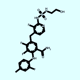 Cc1ccc(Nc2c(C(N)=O)cc(Cc3ccnc(NS(=O)(=O)NCCO)c3F)c(F)c2F)c(F)c1